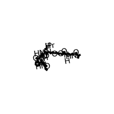 C=CC(=O)N[C@@H](C)C(=O)N1CCCC[C@H]1C(=O)NCC(=O)N[C@@H](CCC(C)C)C(=O)NCCOCCOCC(=O)NCCCNC(=O)C(=C)C